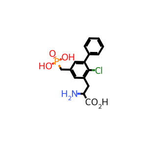 NC(Cc1cc(CP(=O)(O)O)cc(-c2ccccc2)c1Cl)C(=O)O